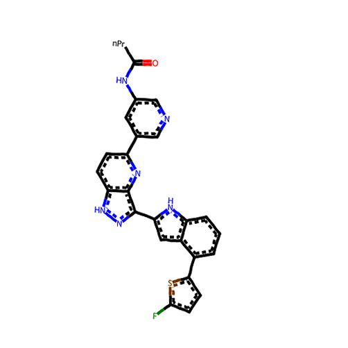 CCCC(=O)Nc1cncc(-c2ccc3[nH]nc(-c4cc5c(-c6ccc(F)s6)cccc5[nH]4)c3n2)c1